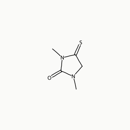 CN1CC(=S)N(C)C1=O